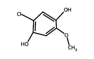 COc1cc(O)c(Cl)cc1O